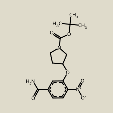 CC(C)(C)OC(=O)N1CCC(Oc2cc(C(N)=O)ccc2[N+](=O)[O-])C1